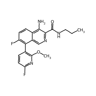 CCCNC(=O)c1ncc2c(-c3ccc(F)nc3OC)c(F)ccc2c1N